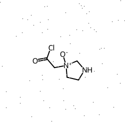 O=C(Cl)C[N+]1([O-])CCNC1